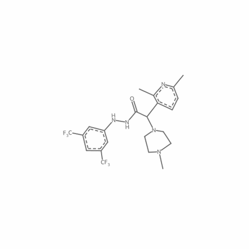 Cc1ccc(C(C(=O)NNc2cc(C(F)(F)F)cc(C(F)(F)F)c2)N2CCN(C)CC2)c(C)n1